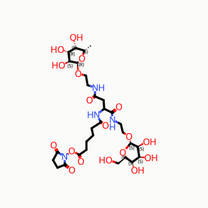 C[C@@H]1O[C@@H](OCCNC(=O)CC(NC(=O)CCCCC(=O)ON2C(=O)CCC2=O)C(=O)NCCO[C@H]2O[C@H](CO)[C@@H](O)[C@H](O)[C@@H]2O)[C@@H](O)[C@H](O)[C@@H]1O